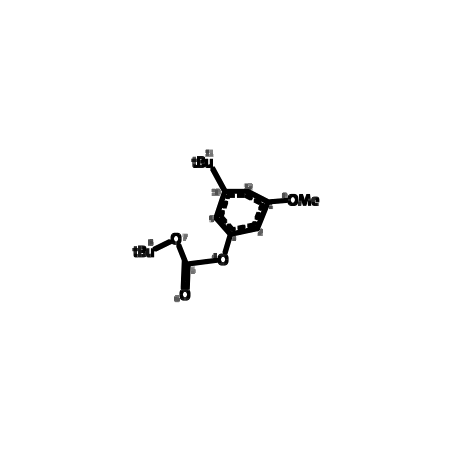 COc1cc(OC(=O)OC(C)(C)C)cc(C(C)(C)C)c1